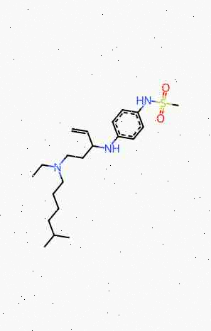 C=CC(CCN(CC)CCCCC(C)C)Nc1ccc(NS(C)(=O)=O)cc1